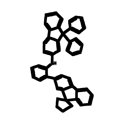 c1ccc(C2(c3ccccc3)c3ccccc3-c3ccc(Nc4ccccc4-c4ccc5c(c4)C4(CCCC4)c4ccccc4-5)cc32)cc1